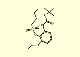 CCCCS(=O)(=O)Oc1c(NC(=O)OC(C)(C)C)cccc1OCC